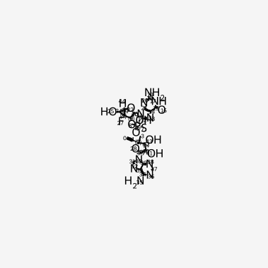 C#C[C@]1(COP(O)(=S)O[C@H]2[C@H](n3cnc4c(=O)[nH]c(N)nc43)O[C@@H]3C(O)[C@]32F)O[C@@H](n2cnc3c(N)ncnc32)[C@H](O)[C@@H]1O